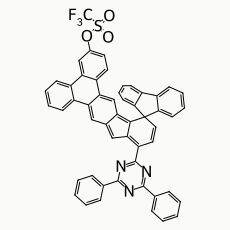 O=S(=O)(Oc1ccc2c(c1)c1ccccc1c1cc3c(cc21)=C1C(=C(c2nc(-c4ccccc4)nc(-c4ccccc4)n2)C=CC12c1ccccc1-c1ccccc12)C=3)C(F)(F)F